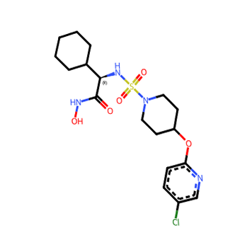 O=C(NO)[C@H](NS(=O)(=O)N1CCC(Oc2ccc(Cl)cn2)CC1)C1CCCCC1